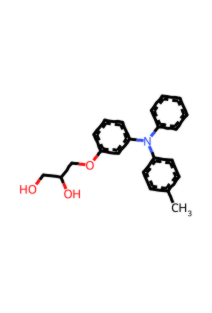 Cc1ccc(N(c2ccccc2)c2cccc(OCC(O)CO)c2)cc1